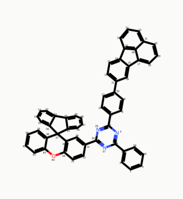 c1ccc(-c2nc(-c3ccc(-c4ccc5c(c4)-c4cccc6cccc-5c46)cc3)nc(-c3ccc4c(c3)C3(c5ccccc5O4)c4ccccc4-c4ccccc43)n2)cc1